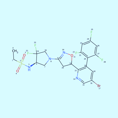 CCS(=O)(=O)N[C@@H]1CN(C2=NOC(c3ncc(Br)cc3-c3c(F)cc(F)cc3F)C2)CC1(F)F